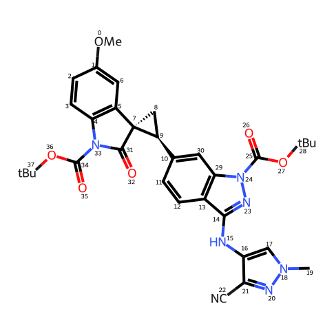 COc1ccc2c(c1)[C@]1(C[C@H]1c1ccc3c(Nc4cn(C)nc4C#N)nn(C(=O)OC(C)(C)C)c3c1)C(=O)N2C(=O)OC(C)(C)C